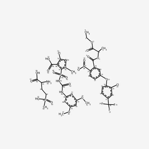 CCOC(=O)C(C)OC(=O)c1cc(Oc2ccc(C(F)(F)F)cc2Cl)ccc1[N+](=O)[O-].COc1cc(OC)nc(NC(=O)NS(=O)(=O)c2c(C(=O)O)c(Cl)nn2C)n1.CP(=O)(O)CCC(N)C(=O)O